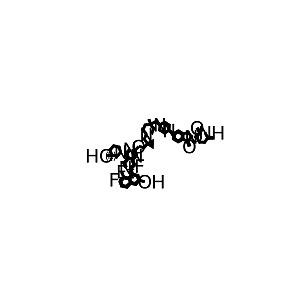 C=C1CC[C@H](N2Cc3cc(N4CCN(CC5(C)CCN(CC6(COc7nc(N8CCC[C@@](C)(O)C8)c8cnc(-c9cc(O)cc%10ccc(F)c(CC)c9%10)c(F)c8n7)CC6)CC5)CC4)ccc3C2=O)C(=O)N1